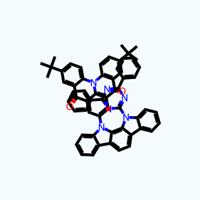 CC(C)(C)c1ccc2c(c1)c(=O)c1cc(-n3c4ccccc4c4ccc5c6ccccc6n(-c6nc(-c7ccccc7)nc(-c7ccccc7)n6)c5c43)cc3c(=O)c4cc(C(C)(C)C)ccc4n2c13